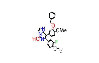 [CH2]c1ccc(-c2nc(O)n3ccnc3c2-c2ccc(OC)c(OCc3ccccc3)c2)cc1F